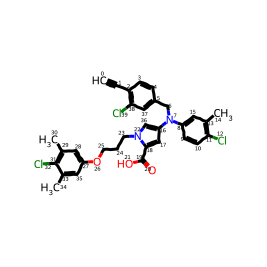 C#Cc1ccc(CN(c2ccc(Cl)c(C)c2)c2cc(C(=O)O)n(CCCOc3cc(C)c(Cl)c(C)c3)c2)cc1Cl